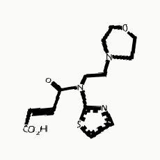 O=C(O)C=CC(=O)N(CCN1CCOCC1)c1nccs1